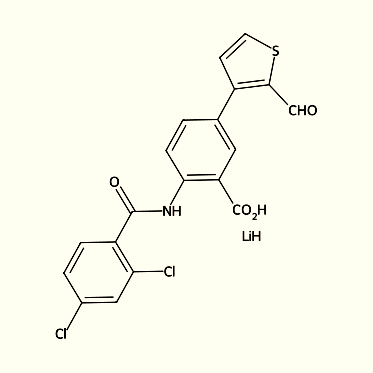 O=Cc1sccc1-c1ccc(NC(=O)c2ccc(Cl)cc2Cl)c(C(=O)O)c1.[LiH]